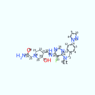 CCN(Cc1ccc(-n2cccn2)cc1)c1ncnc(NC[C@@H]2CCN(CC(N)=O)C[C@H]2O)c1F